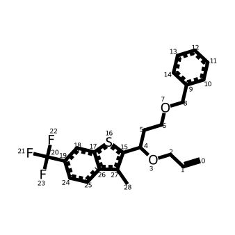 C=CCOC(CCOCc1ccccc1)c1sc2cc(C(F)(F)F)ccc2c1C